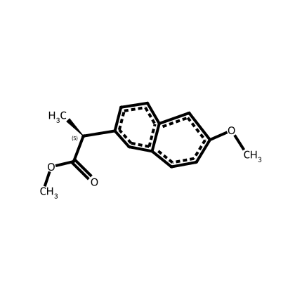 COC(=O)[C@@H](C)c1ccc2cc(OC)ccc2c1